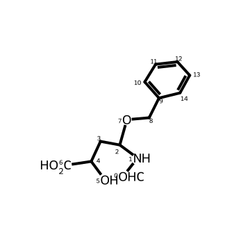 O=CNC(CC(O)C(=O)O)OCc1ccccc1